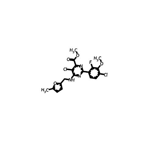 COC(=O)c1nc(-c2ccc(Cl)c(OC)c2F)nc(NCc2ccc(C)o2)c1Cl